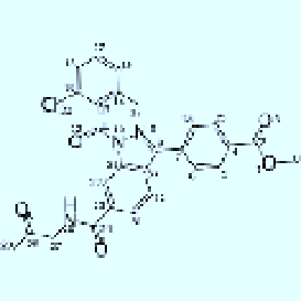 COC(=O)c1ccc(-c2nn(C(=O)c3c(C)cccc3Cl)c3cc(C(=O)NCC(C)=O)ccc23)cc1